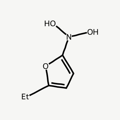 CCc1ccc(N(O)O)o1